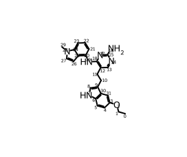 CCOc1ccc2[nH]cc(CCc3cnc(N)nc3Nc3cccc4c3ccn4C)c2c1